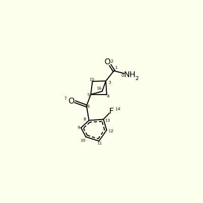 NC(=O)C12CC(C(=O)c3ccccc3F)(C1)C2